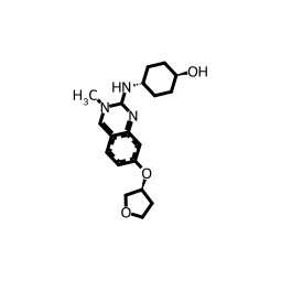 CN1C=c2ccc(O[C@H]3CCOC3)cc2=NC1N[C@H]1CC[C@H](O)CC1